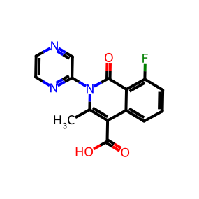 Cc1c(C(=O)O)c2cccc(F)c2c(=O)n1-c1cnccn1